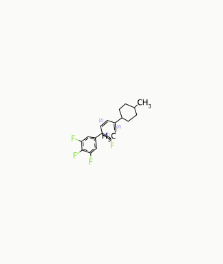 C\C=C(/C=C\C(=C\F)c1cc(F)c(F)c(F)c1)C1CCC(C)CC1